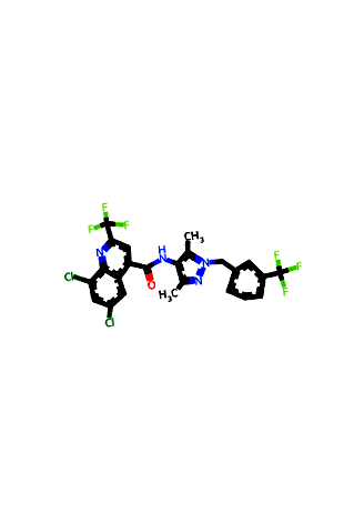 Cc1nn(Cc2cccc(C(F)(F)F)c2)c(C)c1NC(=O)c1cc(C(F)(F)F)nc2c(Cl)cc(Cl)cc12